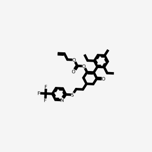 C=CCOC(=O)OC1=C(c2c(CC)cc(C)cc2CC)C(=O)CC(CCSc2ccc(C(F)(F)F)cn2)C1